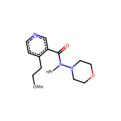 [CH2]CCN(C(=O)c1cnccc1CCOC)N1CCOCC1